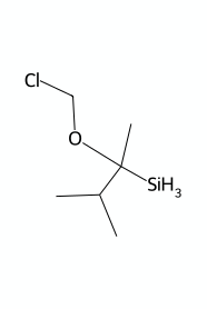 CC(C)C(C)([SiH3])OCCl